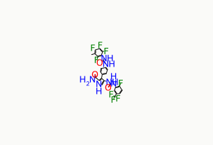 Cc1c(F)c(F)c(F)c(NC(=O)Nc2ccc(-c3c(NC(=O)Nc4cc(C(F)(F)F)ccc4F)c[nH]c3C(N)=O)cc2)c1F